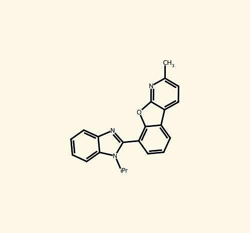 Cc1ccc2c(n1)oc1c(-c3nc4ccccc4n3C(C)C)cccc12